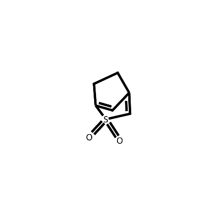 O=S1(=O)C=C2C=C1CC2